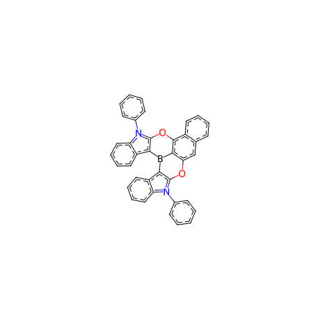 c1ccc(-n2c3c(c4ccccc42)B2c4c(cc5ccccc5c4Oc4c2c2ccccc2n4-c2ccccc2)O3)cc1